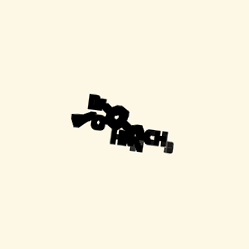 Cc1cc(-c2ccc(Br)c(OCC3CC3)c2)[nH]n1